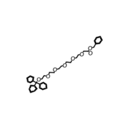 O=C(COCCOCCOCCOCCOCCOC(c1ccccc1)(c1ccccc1)c1ccccc1)OCc1ccccc1